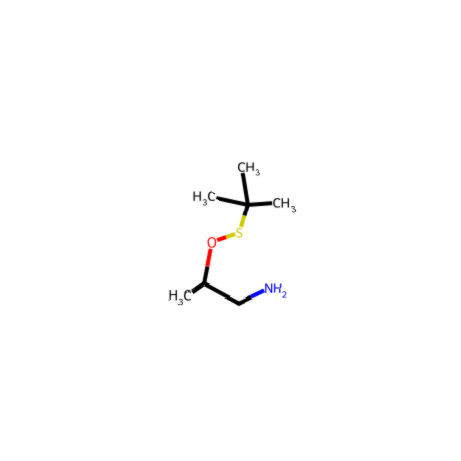 CC(CN)OSC(C)(C)C